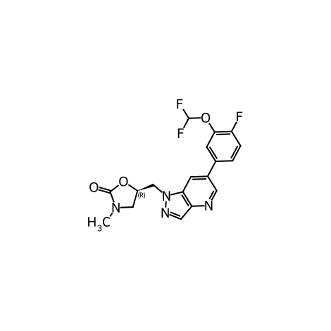 CN1C[C@H](Cn2ncc3ncc(-c4ccc(F)c(OC(F)F)c4)cc32)OC1=O